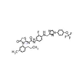 CCCc1ccc(C)cc1N1C(=O)CS/C1=N\C(=O)Nc1ccc(NCc2ncn(-c3ccc(OC(F)(F)F)cc3)n2)c(F)c1